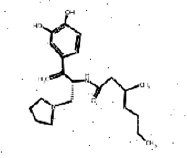 C=C(c1ccc(O)c(O)c1)[C@@H](CN1CCCC1)NC(=O)CC(C)CCCC